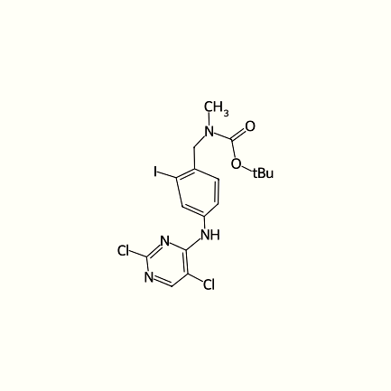 CN(Cc1ccc(Nc2nc(Cl)ncc2Cl)cc1I)C(=O)OC(C)(C)C